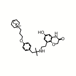 CC(C)(Cc1ccc(OCCC[N+]23CCC(CC2)CC3)cc1)NCCc1cc(O)cc2c1OCC(=O)N2